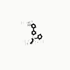 Cc1ccccc1-c1nc(C(C)(C)O)cn1-c1ccc(-c2cccc(S(C)(=O)=O)c2)cc1